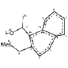 CSCc1ccc2ccccc2c1C(C)O